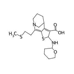 CSCCC1=C2SC(NC3CCCCO3)C(C(=O)O)=C2C2CCCN1C2